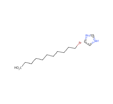 O=C(O)CCCCCCCCCCBr.c1c[nH]cn1